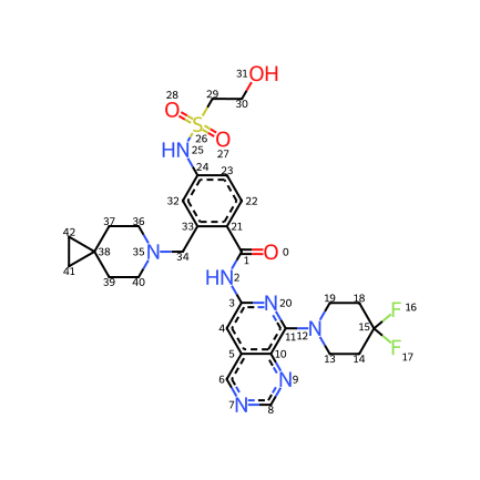 O=C(Nc1cc2cncnc2c(N2CCC(F)(F)CC2)n1)c1ccc(NS(=O)(=O)CCO)cc1CN1CCC2(CC1)CC2